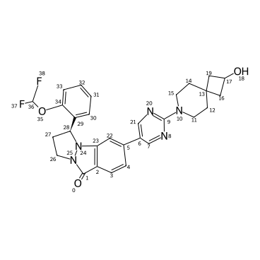 O=c1c2ccc(-c3cnc(N4CCC5(CC4)CC(O)C5)nc3)cc2n2n1CC[C@H]2c1ccccc1OC(F)F